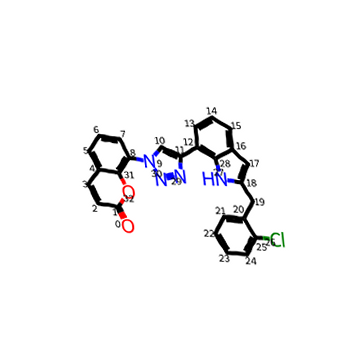 O=c1ccc2cccc(-n3cc(-c4cccc5cc(Cc6ccccc6Cl)[nH]c45)nn3)c2o1